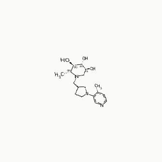 Cc1ccncc1N1CCC(CN2C[C@H](O)[C@@H](O)[C@H](O)[C@H]2C)C1